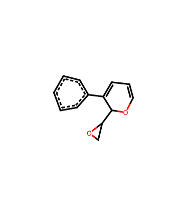 C1=COC(C2CO2)C(c2ccccc2)=C1